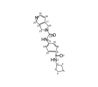 O=C(NC1CCCC1)c1ccc(NC(=O)N2Cc3ccncc3C2)cc1